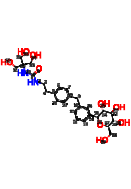 O=C(NCCc1ccc(Cc2cccc([C@@H]3O[C@H](CO)[C@@H](O)[C@H](O)[C@H]3O)c2)cc1)NC(CO)(CO)CO